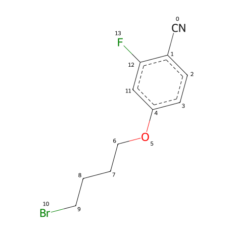 N#Cc1ccc(OCCCCBr)cc1F